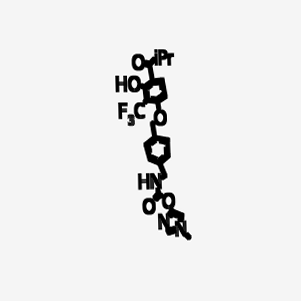 CC(C)C(=O)c1ccc(OCc2ccc(CNC(=O)Oc3cn(C)cn3)cc2)c(C(F)(F)F)c1O